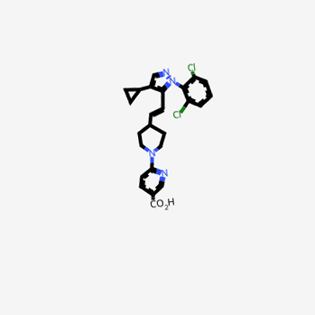 O=C(O)c1ccc(N2CCC(C=Cc3c(C4CC4)cnn3-c3c(Cl)cccc3Cl)CC2)nc1